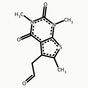 Cc1sc2c(c1CC=O)c(=O)n(C)c(=O)n2C